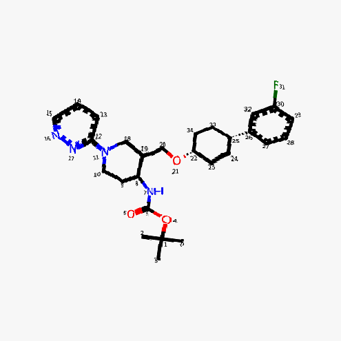 CC(C)(C)OC(=O)NC1CCN(c2cccnn2)CC1CO[C@H]1CC[C@@H](c2cccc(F)c2)CC1